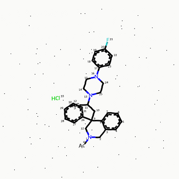 CC(=O)N1Cc2ccccc2C(CC(C)N2CCN(c3ccc(F)cc3)CC2)(c2ccccc2)C1.Cl